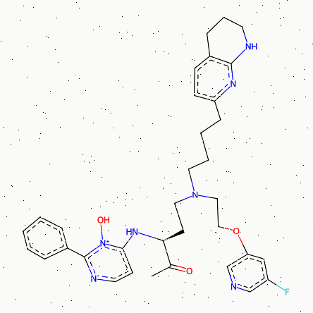 CC(=O)[C@H](CCN(CCCCc1ccc2c(n1)NCCC2)CCOc1cncc(F)c1)Nc1ccnc(-c2ccccc2)[n+]1O